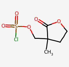 CC1(COS(=O)(=O)Cl)CCOC1=O